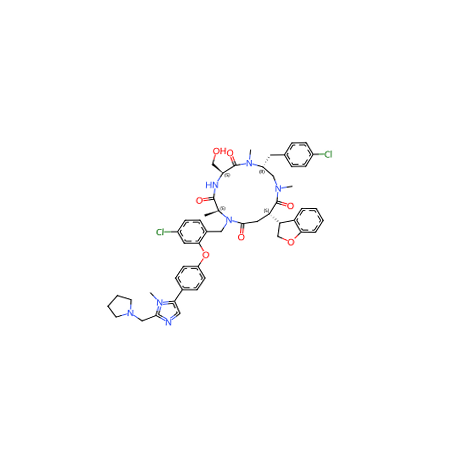 C[C@H]1C(=O)N[C@@H](CO)C(=O)N(C)[C@H](Cc2ccc(Cl)cc2)CN(C)C(=O)[C@H](C2COc3ccccc32)CC(=O)N1Cc1ccc(Cl)cc1Oc1ccc(-c2cnc(CN3CCCC3)n2C)cc1